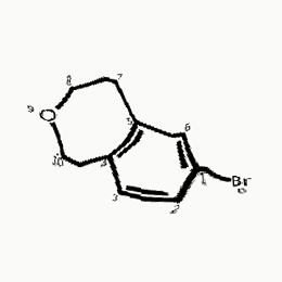 Brc1ccc2c(c1)CCO[CH]2